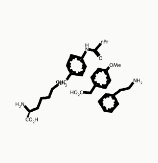 CCCC(=O)Nc1ccc(C=O)cc1.COc1ccc(CC(=O)O)cc1.NCCCC[C@H](N)C(=O)O.NCCc1ccccc1